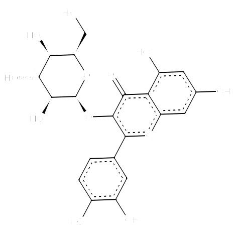 O=c1c(O[C@@H]2O[C@H](CO)[C@H](O)[C@@H](O)[C@@H]2O)c(-c2ccc(O)c(O)c2)oc2cc(O)cc(O)c12